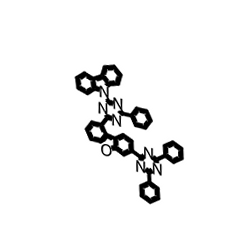 c1ccc(-c2nc(-c3ccccc3)nc(-c3ccc4c(c3)oc3cccc(-c5nc(-c6ccccc6)nc(-n6c7ccccc7c7ccccc76)n5)c34)n2)cc1